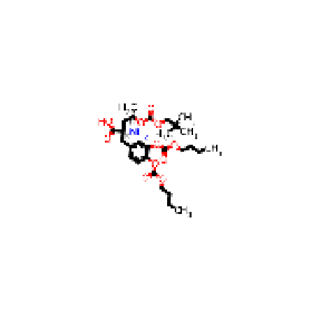 CCCCOC(=O)Oc1ccc(C[C@](N)(C[C@H](C)OC(=O)OCC(C)(C)C)C(=O)O)cc1OC(=O)OCCCC